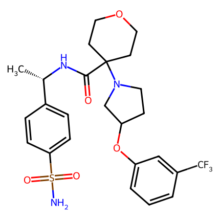 C[C@H](NC(=O)C1(N2CCC(Oc3cccc(C(F)(F)F)c3)C2)CCOCC1)c1ccc(S(N)(=O)=O)cc1